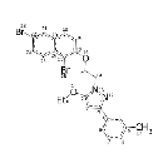 CCOc1cc(-c2cccc(C)c2)nn1CCOc1ccc2cc(Br)ccc2c1Br